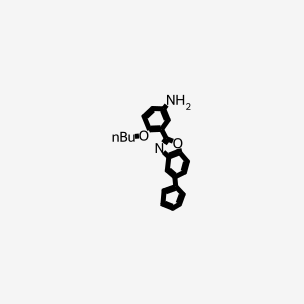 CCCCOc1ccc(N)cc1-c1nc2cc(-c3ccccc3)ccc2o1